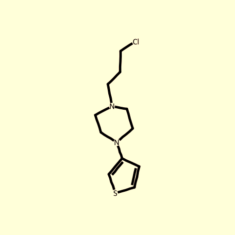 ClCCCN1CCN(c2ccsc2)CC1